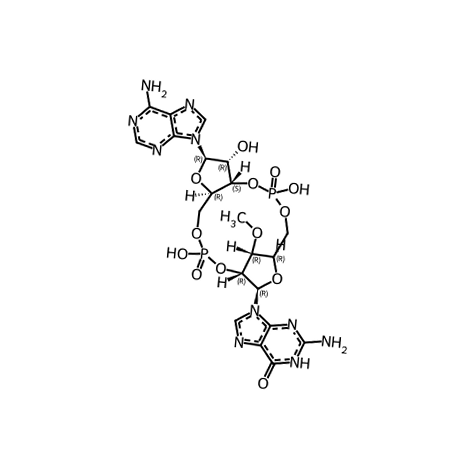 CO[C@H]1[C@H]2OP(=O)(O)OC[C@H]3O[C@@H](n4cnc5c(N)ncnc54)[C@H](O)[C@@H]3OP(=O)(O)OC[C@H]1O[C@H]2n1cnc2c(=O)[nH]c(N)nc21